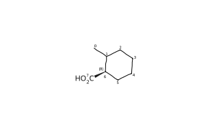 CC1CCCC[C@H]1C(=O)O